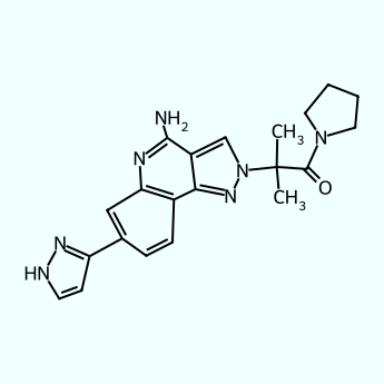 CC(C)(C(=O)N1CCCC1)n1cc2c(N)nc3cc(-c4cc[nH]n4)ccc3c2n1